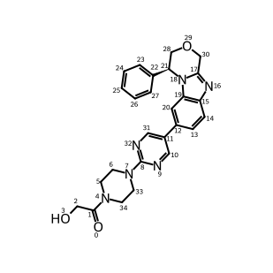 O=C(CO)N1CCN(c2ncc(-c3ccc4nc5n(c4c3)[C@@H](c3ccccc3)COC5)cn2)CC1